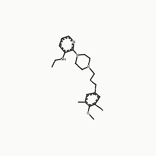 CCNc1cccnc1N1CCN(CCCc2cc(C)c(OC)c(C)c2)CC1